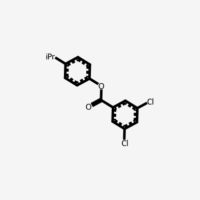 CC(C)c1ccc(OC(=O)c2cc(Cl)cc(Cl)c2)cc1